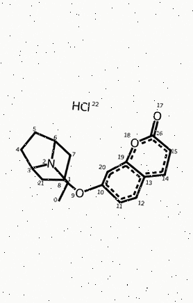 CCN1C2CCC1CC(Oc1ccc3ccc(=O)oc3c1)C2.Cl